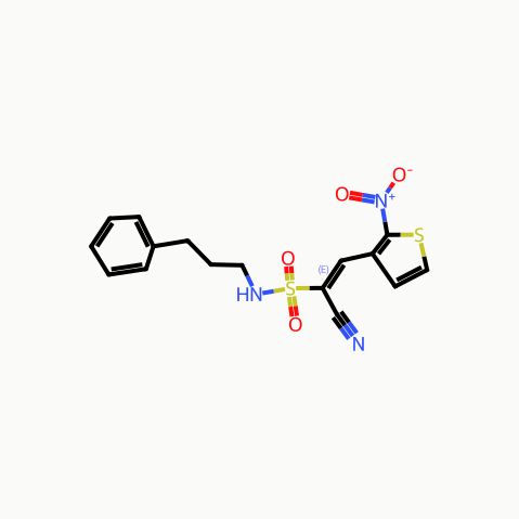 N#C/C(=C\c1ccsc1[N+](=O)[O-])S(=O)(=O)NCCCc1ccccc1